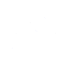 CC(C#N)CN(CC(F)(F)F)c1ccc(C#N)c(C(F)(F)F)c1